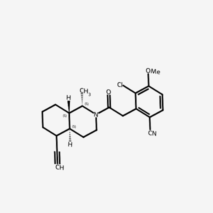 C#CC1CCC[C@H]2[C@H]1CCN(C(=O)Cc1c(C#N)ccc(OC)c1Cl)[C@H]2C